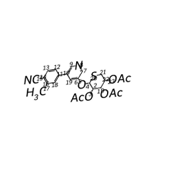 CC(=O)O[C@@H]1[C@@H](OC(C)=O)[C@@H](Oc2cncc(-c3ccc(C#N)c(C)c3)c2)SC[C@H]1OC(C)=O